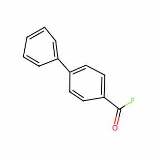 O=C(F)c1ccc(-c2ccccc2)cc1